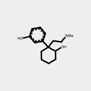 CNCCC1(c2cccc(O)c2)CCCCC1O